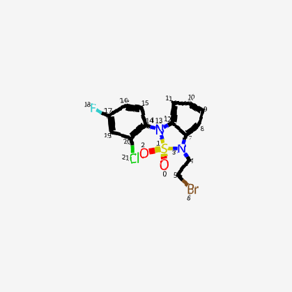 O=S1(=O)N(CCBr)c2ccccc2N1c1ccc(F)cc1Cl